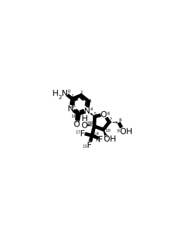 Nc1ccn([C@@H]2O[C@H](CO)[C@@H](O)[C@@]2(O)C(F)(F)F)c(=O)n1